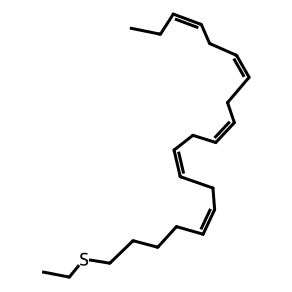 CC/C=C\C/C=C\C/C=C\C/C=C\C/C=C\CCCCSCC